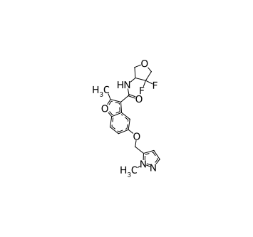 Cc1oc2ccc(OCc3ccnn3C)cc2c1C(=O)NC1COCC1(F)F